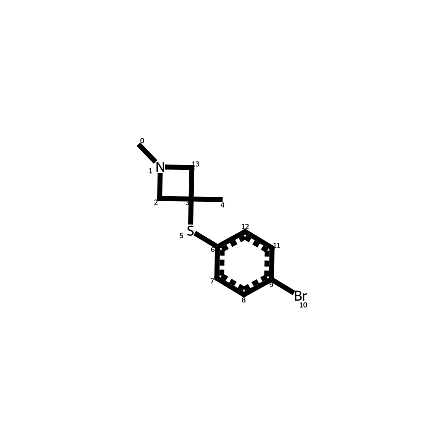 CN1CC(C)(Sc2ccc(Br)cc2)C1